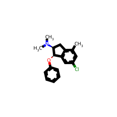 Cc1cc(Cl)cc2c1C[C@H](N(C)C)[C@H]2Oc1ccccc1